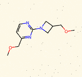 COCc1ccnc(N2CC(COC)C2)n1